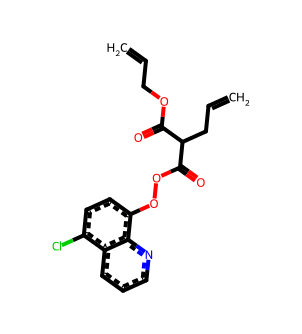 C=CCOC(=O)C(CC=C)C(=O)OOc1ccc(Cl)c2cccnc12